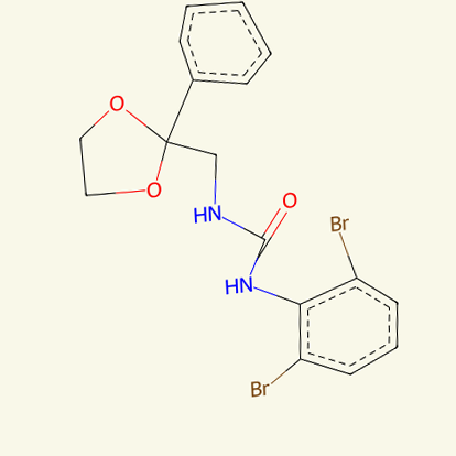 O=C(NCC1(c2ccccc2)OCCO1)Nc1c(Br)cccc1Br